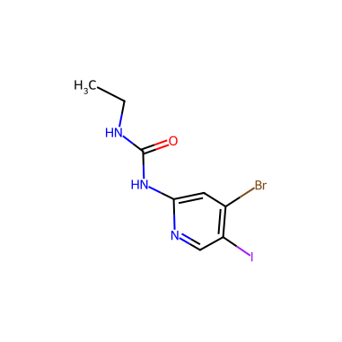 CCNC(=O)Nc1cc(Br)c(I)cn1